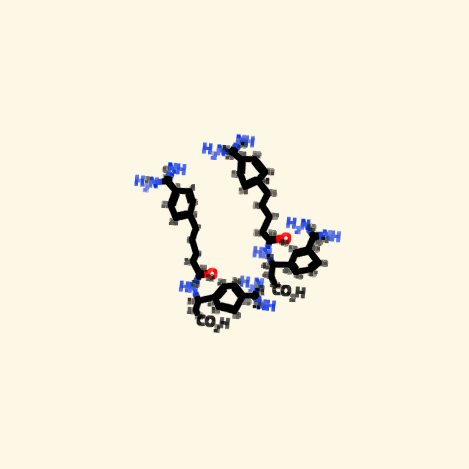 N=C(N)c1ccc(CCCCC(=O)NC(CC(=O)O)c2ccc(C(=N)N)cc2)cc1.N=C(N)c1ccc(CCCCC(=O)NC(CC(=O)O)c2cccc(C(=N)N)c2)cc1